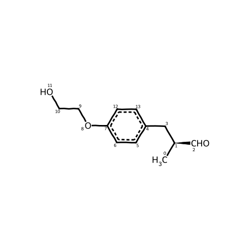 C[C@H](C=O)Cc1ccc(OCCO)cc1